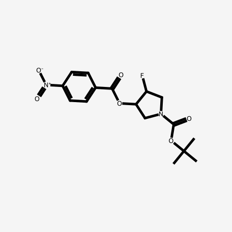 CC(C)(C)OC(=O)N1CC(F)C(OC(=O)c2ccc([N+](=O)[O-])cc2)C1